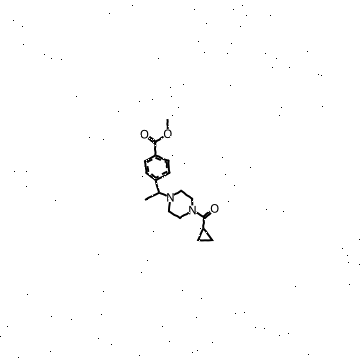 COC(=O)c1ccc(C(C)N2CCN(C(=O)C3CC3)CC2)cc1